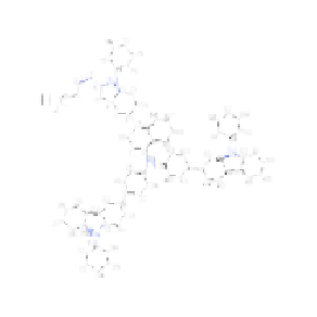 C=C/C=C\c1cc2cc(-c3ccc(N(c4ccc(-c5ccc6c(c5)c5ccccc5n6-c5ccccc5)cc4)c4ccc(-c5ccc6c7ccccc7n(-c7ccccc7)c6c5)cc4)c4ccccc34)ccc2n1-c1ccccc1